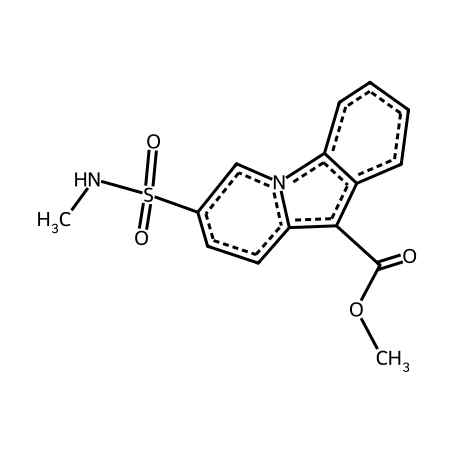 CNS(=O)(=O)c1ccc2c(C(=O)OC)c3ccccc3n2c1